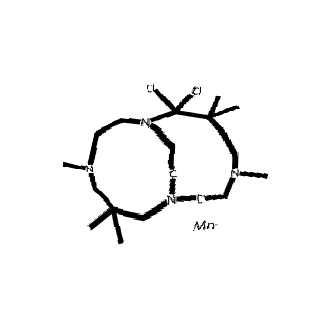 CN1CCN2CCN(CCN(C)CC(C)(C)C2(Cl)Cl)CC(C)(C)C1.[Mn]